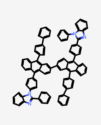 c1ccc(-c2ccc(-c3c4ccccc4c(-c4ccc(-c5nc6ccccc6n5-c5ccccc5)cc4)c4ccc(-c5ccc6c(-c7ccc(-n8c(-c9ccccc9)nc9ccccc98)cc7)c7ccccc7c(-c7ccc(-c8ccccc8)cc7)c6c5)cc34)cc2)cc1